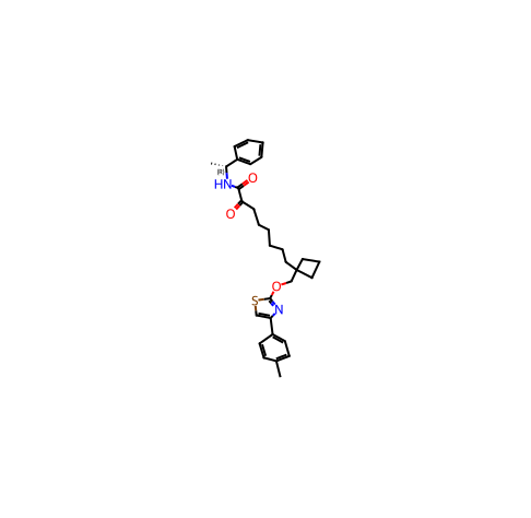 Cc1ccc(-c2csc(OCC3(CCCCCCC(=O)C(=O)N[C@H](C)c4ccccc4)CCC3)n2)cc1